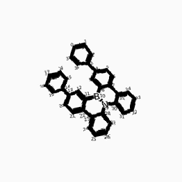 c1ccc(-c2ccc3c(c2)B2c4cc(-c5ccccc5)ccc4-c4ccccc4N2c2ccccc2-3)cc1